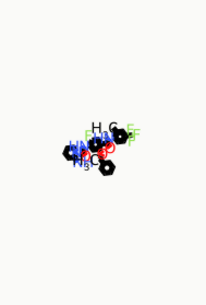 Cc1cc(C(F)(F)F)ccc1NC(=O)c1cc(F)c(NC(=O)N2CCCCC2=N)cc1OC(C)C1CCCCC1